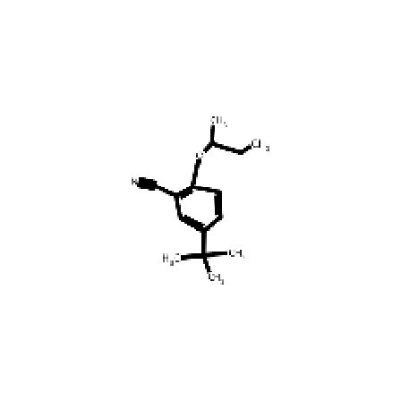 CCC(C)Oc1ccc(C(C)(C)C)cc1C#N